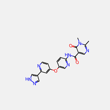 Cc1ncc(C(=O)Nc2ccc(Oc3ccnc(-c4cn[nH]c4)c3)cn2)c(=O)n1C